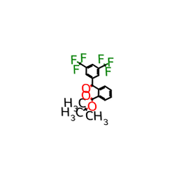 CC(C)(C)OC(=O)c1ccccc1C(=O)c1cc(C(F)(F)F)cc(C(F)(F)F)c1